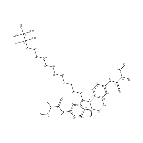 CSC(C)C(=O)Oc1ccc(C2(C)CCc3cc(OC(=O)C(C)SC)ccc3C2CCCCCCCCCSCCCC(F)(F)C(F)(F)F)cc1